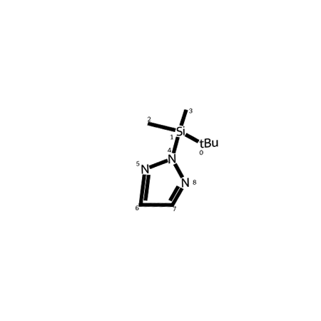 CC(C)(C)[Si](C)(C)n1nccn1